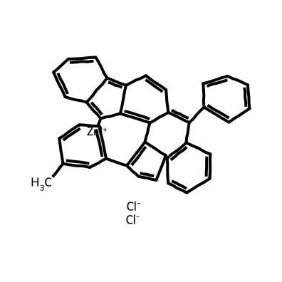 Cc1cccc(C2=C(c3c4c(ccc3=C(c3ccccc3)c3ccccc3)=c3ccccc3=[C]4[Zr+2])CC=C2)c1.[Cl-].[Cl-]